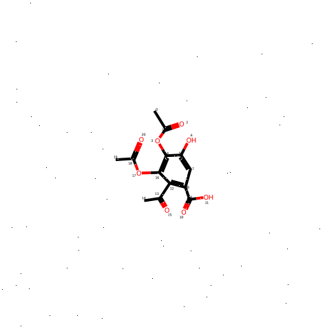 CC(=O)Oc1c(O)cc(C(=O)O)c(C(C)=O)c1OC(C)=O